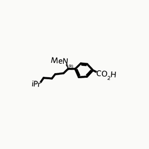 CN[C@H](CCCCC(C)C)c1ccc(C(=O)O)cc1